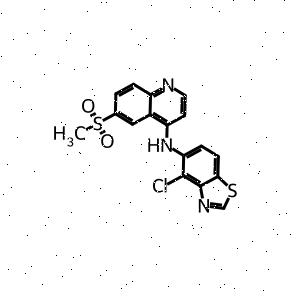 CS(=O)(=O)c1ccc2nccc(Nc3ccc4scnc4c3Cl)c2c1